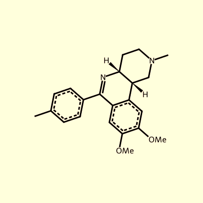 COc1cc2c(cc1OC)[C@H]1CN(C)CC[C@H]1N=C2c1ccc(C)cc1